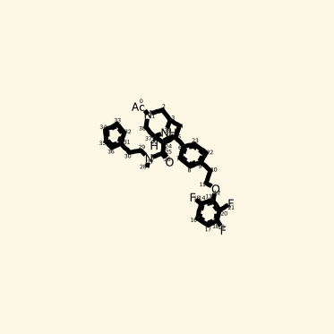 CC(=O)N1CC2CC(c3ccc(CCOc4c(F)ccc(F)c4F)cc3)=C(C(=O)N(C)CCc3ccccc3)[C@@H](C1)N2